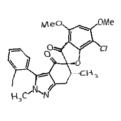 COc1cc(OC)c2c(c1Cl)O[C@]1(C2=O)C(=O)c2c(nn(C)c2-c2ccccc2I)C[C@H]1C